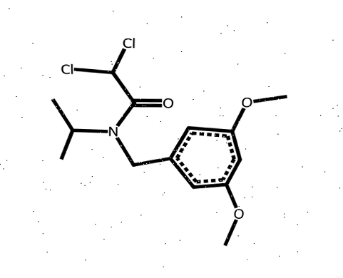 COc1cc(CN(C(=O)C(Cl)Cl)C(C)C)cc(OC)c1